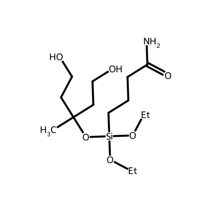 CCO[Si](CCCC(N)=O)(OCC)OC(C)(CCO)CCO